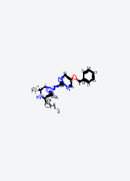 CC1CN(c2ncc(OCc3ccccc3)cn2)CC(C)N1